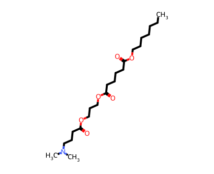 CCCCCCCOC(=O)CCCCC(=O)OCCCOC(=O)CCCN(C)C